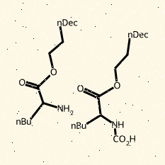 CCCCCCCCCCCCOC(=O)C(CCCC)NC(=O)O.CCCCCCCCCCCCOC(=O)C(N)CCCC